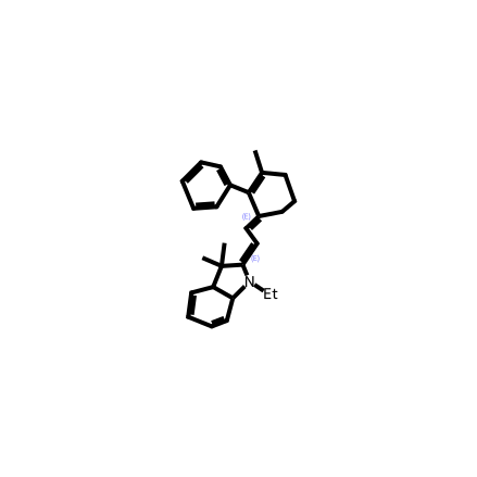 CCN1/C(=C/C=C2\CCCC(C)=C2c2ccccc2)C(C)(C)C2C=CC=CC21